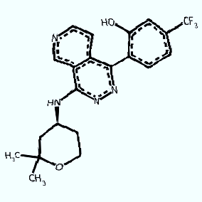 CC1(C)C[C@@H](Nc2nnc(-c3ccc(C(F)(F)F)cc3O)c3ccncc23)CCO1